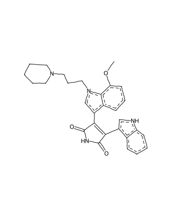 COc1cccc2c(C3=C(c4c[nH]c5ccccc45)C(=O)NC3=O)cn(CCCN3CCCCC3)c12